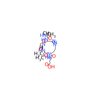 CC[C@H](C)[C@@H]1NC(=O)[C@@H]2CCCN2C(=O)[C@@H](NC(=O)[C@H](C)NC)Cc2cn(nn2)CCCC[C@@H](C(=O)NCCCC(=O)O)NC1=O